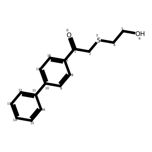 O=C(CSCCO)c1ccc(-c2ccccc2)cc1